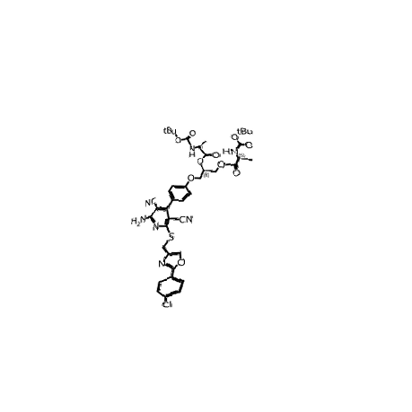 C[C@H](NC(=O)OC(C)(C)C)C(=O)OC[C@@H](COc1ccc(-c2c(C#N)c(N)nc(SCc3coc(-c4ccc(Cl)cc4)n3)c2C#N)cc1)OC(=O)[C@H](C)NC(=O)OC(C)(C)C